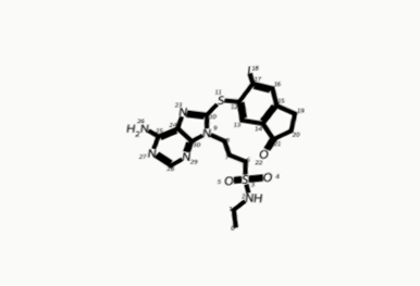 CCNS(=O)(=O)CCCn1c(Sc2cc3c(cc2I)CCC3=O)nc2c(N)ncnc21